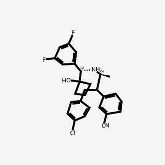 C[C@H](N[C@@H](c1cc(F)cc(F)c1)C1(O)CCC1)C(Cc1ccc(Cl)cc1)c1cccc(C#N)c1